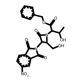 CC(O)C(C(=O)OCc1ccccc1)N1C(=O)C(N2C(=O)c3ccc([N+](=O)[O-])cc3C2=O)C1CO